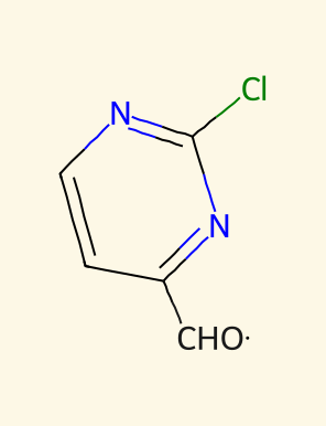 O=[C]c1ccnc(Cl)n1